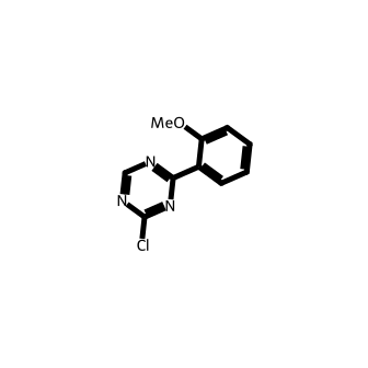 COc1ccccc1-c1ncnc(Cl)n1